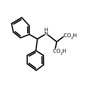 O=C(O)C(NC(c1ccccc1)c1ccccc1)C(=O)O